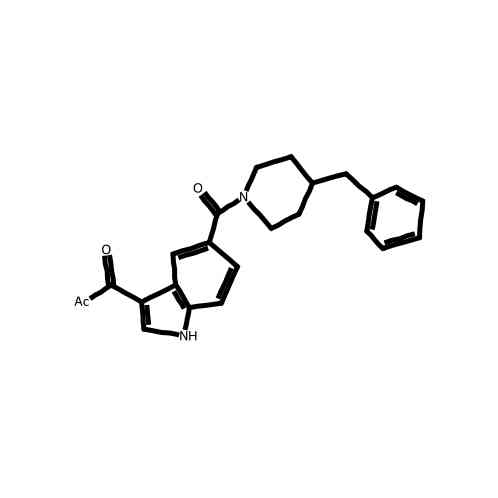 CC(=O)C(=O)c1c[nH]c2ccc(C(=O)N3CCC(Cc4ccccc4)CC3)cc12